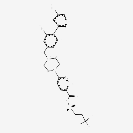 O=C(NS(=O)(=O)CCC(F)(F)F)c1ccc(N2CCN(Cc3ccc(-c4cncc(O)c4)c(F)c3)CC2)nn1